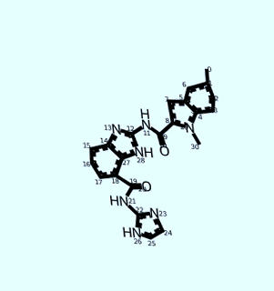 Cc1ccc2c(c1)cc(C(=O)Nc1nc3cccc(C(=O)Nc4ncc[nH]4)c3[nH]1)n2C